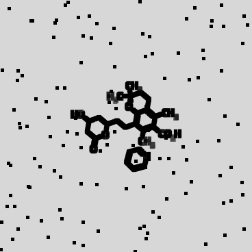 Cc1c(CCC2CC(O)CC(=O)O2)c2c(c(C)c1C(=O)O)CCC(C)(C)O2.c1ccncc1